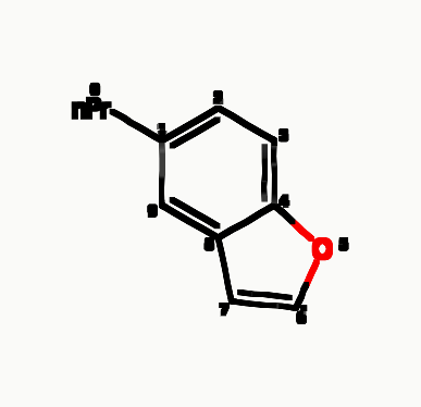 CCCc1ccc2o[c]cc2c1